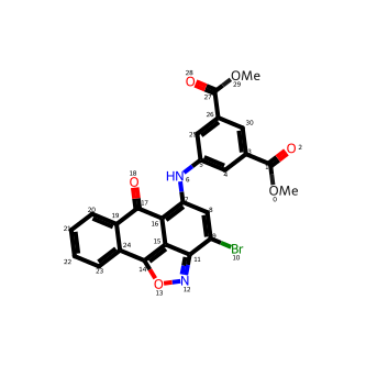 COC(=O)c1cc(Nc2cc(Br)c3noc4c3c2C(=O)c2ccccc2-4)cc(C(=O)OC)c1